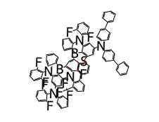 Fc1cccc(F)c1N(c1ccccc1)c1cc2c3c(c1)N(c1c(-c4ccccc4)cccc1C(F)(F)F)c1c(cc4c(c1F)Sc1cc(N(c5ccc(-c6ccccc6)cc5)c5ccc(-c6ccccc6)cc5)cc5c1B4c1ccccc1N5c1c(F)cccc1F)B3c1ccccc1N2c1c(F)cccc1F